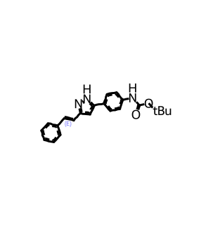 CC(C)(C)OC(=O)Nc1ccc(-c2cc(/C=C/c3ccccc3)n[nH]2)cc1